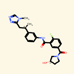 C[C@H](Cc1nncn1C)c1cccc(NC(=O)c2cc(C(=O)N3CC[C@H](O)C3)ccc2F)c1